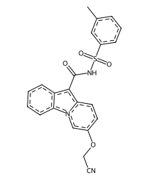 Cc1cccc(S(=O)(=O)NC(=O)c2c3ccccc3n3cc(OCC#N)ccc23)c1